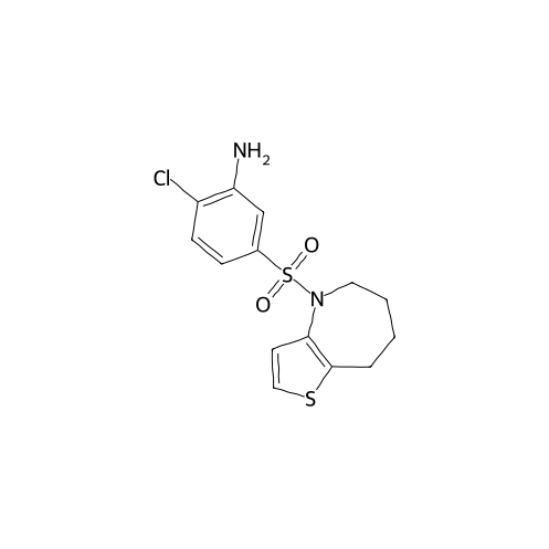 Nc1cc(S(=O)(=O)N2CCCCc3sccc32)ccc1Cl